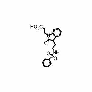 O=C(O)CCN1C(=O)C(CCNS(=O)(=O)c2ccccc2)c2ccccc21